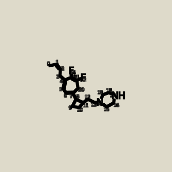 C/C=C\CC1=CC=C(C2CCC2CCN2CCNCC2)CC(F)=C1F